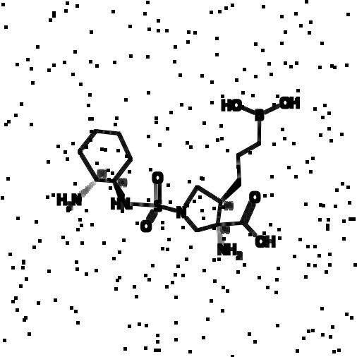 N[C@@H]1CCCC[C@H]1NS(=O)(=O)N1C[C@@H](CCCB(O)O)[C@@](N)(C(=O)O)C1